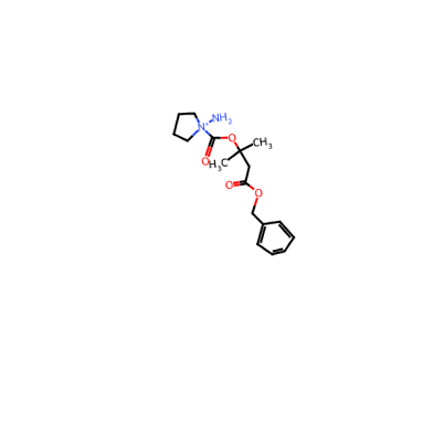 CC(C)(CC(=O)OCc1ccccc1)OC(=O)[N+]1(N)CCCC1